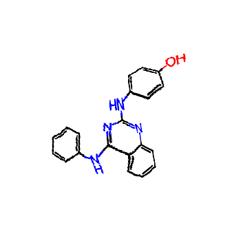 Oc1ccc(Nc2nc(Nc3ccccc3)c3ccccc3n2)cc1